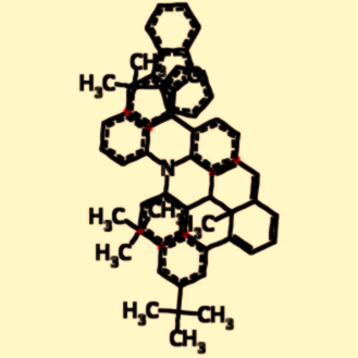 CC(C)(C)c1cc(C2=CC=CC3=CC=CC(c4ccccc4N(c4ccccc4-c4cccc5c4oc4ccccc45)c4cccc5c4-c4ccccc4C5(C)C)C32C)cc(C(C)(C)C)c1